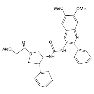 COCC(=O)N1C[C@@H](NC(=O)Nc2cc3cc(OC)c(OC)cc3nc2-c2ccccc2)[C@H](c2ccccc2)C1